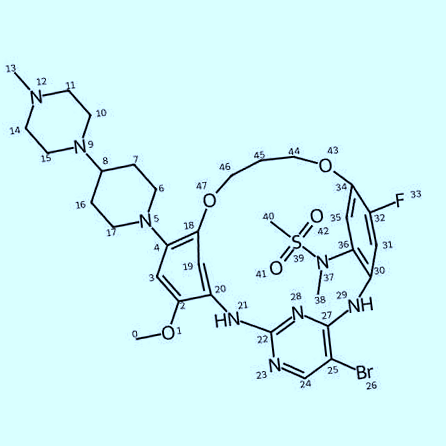 COc1cc(N2CCC(N3CCN(C)CC3)CC2)c2cc1Nc1ncc(Br)c(n1)Nc1cc(F)c(cc1N(C)S(C)(=O)=O)OCCCO2